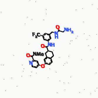 CNC(=O)c1cc(Oc2ccc3c(c2)CC(C(=O)Nc2cc(CNC(=O)CN)cc(C(F)(F)F)c2)CC3)ccn1